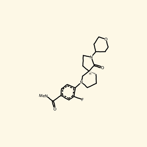 CNC(=O)c1ccc(N2CCC[C@@]3(CCN(C4CCOCC4)C3=O)C2)c(F)c1